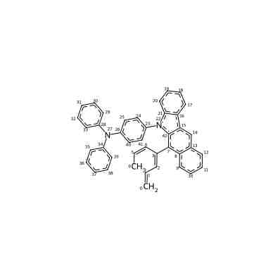 C=C/C=C(\C=C/C)c1c2ccccc2cc2c3ccccc3n(-c3ccc(N(c4ccccc4)c4ccccc4)cc3)c12